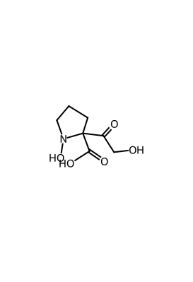 O=C(O)C1(C(=O)CO)CCCN1O